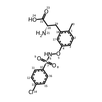 Cc1ccc(ONS(=O)(=O)c2ccc(Cl)cc2)cc1C[C@H](N)C(=O)O